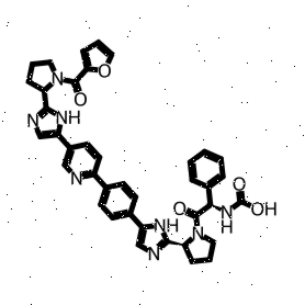 O=C(O)N[C@@H](C(=O)N1CCC[C@H]1c1ncc(-c2ccc(-c3ccc(-c4cnc(C5CCCN5C(=O)c5ccco5)[nH]4)cn3)cc2)[nH]1)c1ccccc1